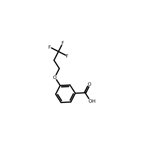 O=C(O)c1cccc(OCCC(F)(F)F)c1